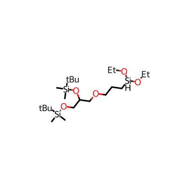 CCO[SiH](CCCOCC(CO[Si](C)(C)C(C)(C)C)O[Si](C)(C)C(C)(C)C)OCC